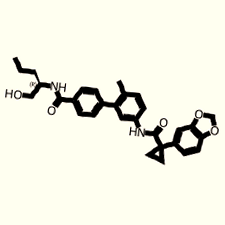 CCC[C@H](CO)NC(=O)c1ccc(-c2cc(NC(=O)C3(c4ccc5c(c4)OCO5)CC3)ccc2C)cc1